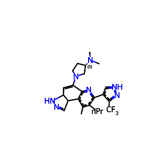 CCCc1c(-c2c[nH]nc2C(F)(F)F)nc2c(c1C)C1C=NNC1C=C2N1CC[C@H](N(C)C)C1